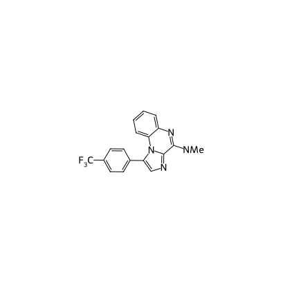 CNc1nc2ccccc2n2c(-c3ccc(C(F)(F)F)cc3)cnc12